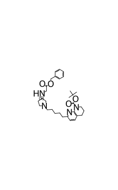 CC(C)(C)OC(=O)N1CCCc2ccc(CCCCCN3CC[C@H](NCC(=O)OCc4ccccc4)C3)nc21